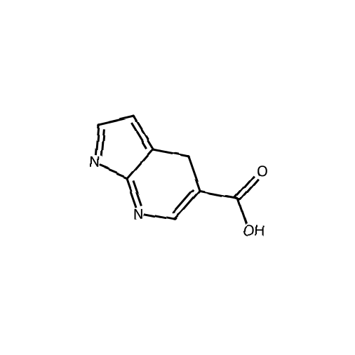 O=C(O)C1=CN=C2N=CC=C2C1